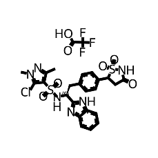 Cc1nn(C)c(Cl)c1S(=O)(=O)N[C@@H](Cc1ccc(C2CC(=O)NS2(=O)=O)cc1)c1nc2ccccc2[nH]1.O=C(O)C(F)(F)F